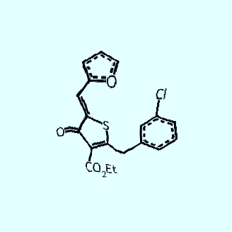 CCOC(=O)C1=C(Cc2cccc(Cl)c2)S/C(=C\c2ccco2)C1=O